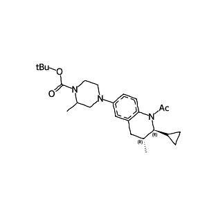 CC(=O)N1c2ccc(N3CCN(C(=O)OC(C)(C)C)C(C)C3)cc2C[C@@H](C)[C@@H]1C1CC1